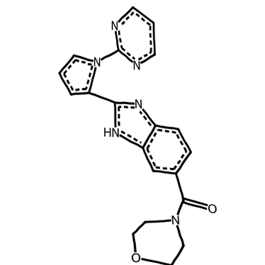 O=C(c1ccc2nc(-c3cccn3-c3ncccn3)[nH]c2c1)N1CCOCC1